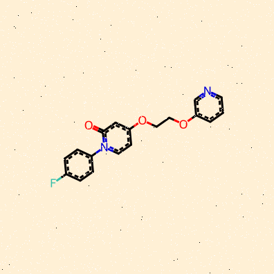 O=c1cc(OCCOc2cccnc2)ccn1-c1ccc(F)cc1